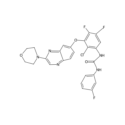 O=C(Nc1cccc(F)c1)Nc1cc(F)c(F)c(Oc2ccc3ncc(N4CCOCC4)nc3c2)c1Cl